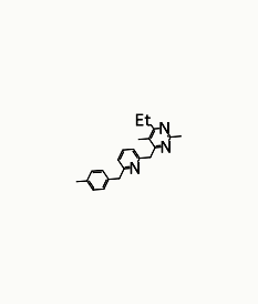 CCc1nc(C)nc(Cc2cccc(Cc3ccc(C)cc3)n2)c1C